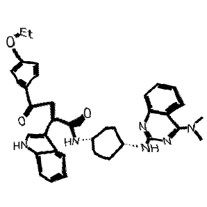 CCOc1ccc(C(=O)CC(C(=O)N[C@H]2CC[C@@H](Nc3nc(N(C)C)c4ccccc4n3)CC2)c2c[nH]c3ccccc23)cc1